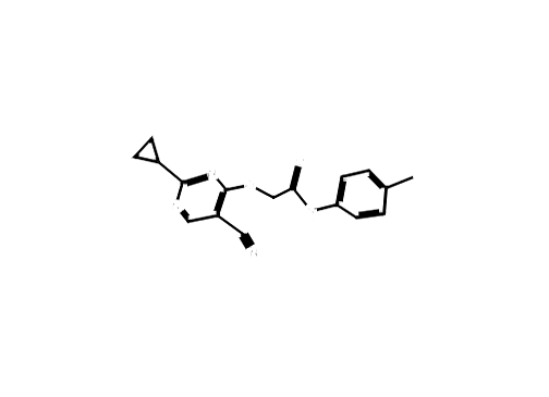 Cc1ccc(NC(=O)COc2nc(C3CC3)ncc2C#N)cc1